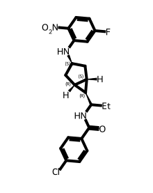 CCC(NC(=O)c1ccc(Cl)cc1)[C@H]1[C@@H]2C[C@@H](Nc3cc(F)ccc3[N+](=O)[O-])C[C@@H]21